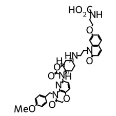 COc1ccc(CN2C(=O)COc3ccc(N4C(=O)O[C@@H]5C[C@H](NCCn6c(=O)ccc7ccc(OCCNC(=O)O)cc76)CC[C@H]54)nc32)cc1